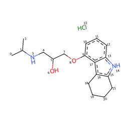 CC(C)NCC(O)COc1cccc2[nH]c3c(c12)CCCC3.Cl